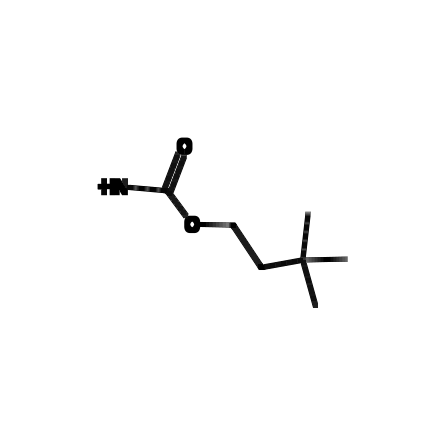 CC(C)(C)CCOC([NH])=O